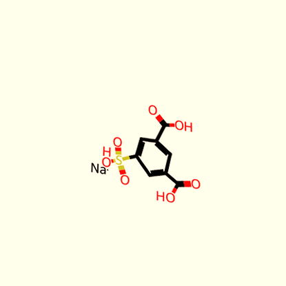 O=C(O)c1cc(C(=O)O)cc(S(=O)(=O)O)c1.[Na]